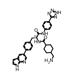 NCC1CCC(C(=O)N[C@@H](Cc2ccc(-c3cnc4[nH]ccc4c3)cc2)C(=O)Nc2ccc(-c3nn[nH]n3)cc2)CC1